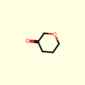 O=C1[C]OCCC1